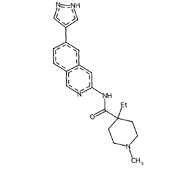 CCC1(C(=O)Nc2cc3cc(-c4cn[nH]c4)ccc3cn2)CCN(C)CC1